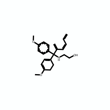 C=C/C=C\C(=C)C(NCCO)(C1=CC=C(OC)CC1)c1ccc(OC)cc1